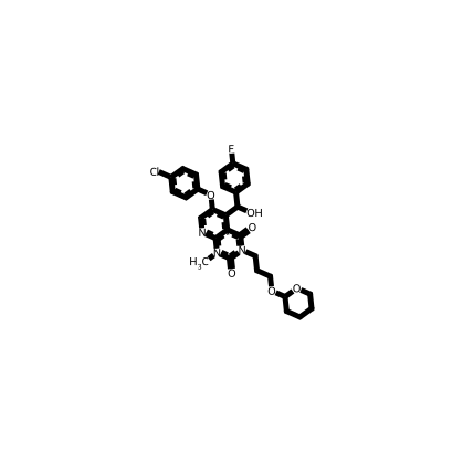 Cn1c(=O)n(CCCOC2CCCCO2)c(=O)c2c(C(O)c3ccc(F)cc3)c(Oc3ccc(Cl)cc3)cnc21